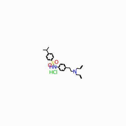 C=CCN(CC=C)CCc1ccc(NS(=O)(=O)c2ccc(C(C)C)cc2)cc1.Cl